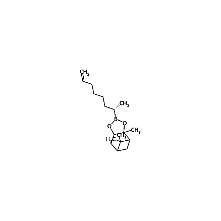 C=CCCCC[C@H](C)B1OC2CC3CC(C3(C)C)C2(C)O1